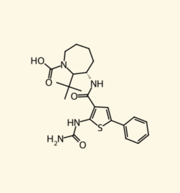 CC(C)(C)C1[C@@H](NC(=O)c2cc(-c3ccccc3)sc2NC(N)=O)CCCCN1C(=O)O